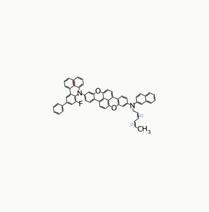 C/C=C\C=C/CN(c1ccc2c(c1)Oc1ccc3c4c(ccc-2c14)Oc1cc(N(c2ccccc2)c2c(F)cc(-c4ccccc4)cc2-c2ccccc2)ccc1-3)c1ccc2ccccc2c1